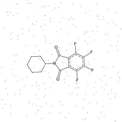 O=C1c2c(F)c(F)c(F)c(F)c2C(=O)N1C1CCCCC1